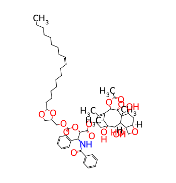 CCCCCCCC/C=C\CCCCCCCC1OCC(COC(=O)O[C@@H](C(=O)O[C@H]2C[C@]3(O)C(C)C(=C2C)[C@@H](OC(C)=O)C(=O)[C@@]2(C)[C@H]([C@@H]3O)[C@]3(O)CO[C@@H]3C[C@@H]2O)[C@@H](NC(=O)c2ccccc2)c2ccccc2)O1